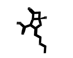 CCSCC=C1S[C@@H]2CC(=O)N2C1C(=O)O